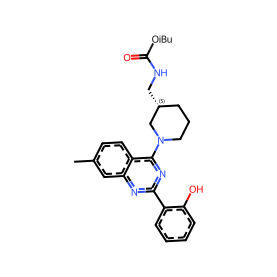 Cc1ccc2c(N3CCC[C@@H](CNC(=O)OCC(C)C)C3)nc(-c3ccccc3O)nc2c1